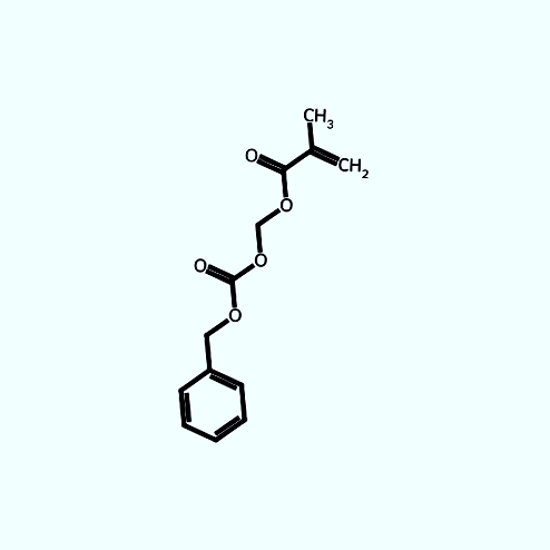 C=C(C)C(=O)OCOC(=O)OCc1ccccc1